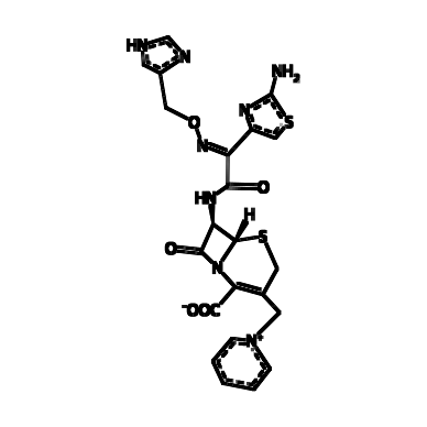 Nc1nc(C(=NOCc2c[nH]cn2)C(=O)N[C@@H]2C(=O)N3C(C(=O)[O-])=C(C[n+]4ccccc4)CS[C@@H]23)cs1